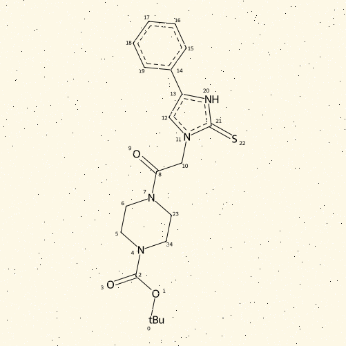 CC(C)(C)OC(=O)N1CCN(C(=O)Cn2cc(-c3ccccc3)[nH]c2=S)CC1